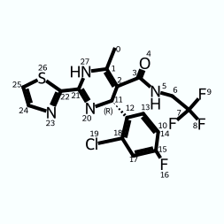 CC1=C(C(=O)NCC(F)(F)F)[C@H](c2ccc(F)cc2Cl)N=C(c2nccs2)N1